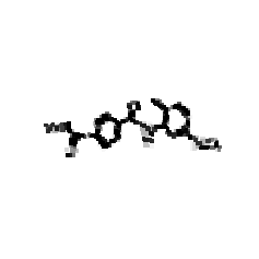 CNC(=O)c1ccc(C(=O)Nc2cc([N+](=O)[O-])ccc2C)cc1